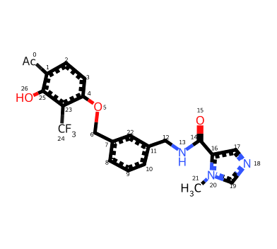 CC(=O)c1ccc(OCc2cccc(CNC(=O)c3cncn3C)c2)c(C(F)(F)F)c1O